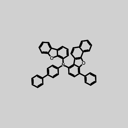 c1ccc(-c2ccc(N(c3cccc4c3oc3ccccc34)c3ccc(-c4ccccc4)c4oc5c6ccccc6ccc5c34)cc2)cc1